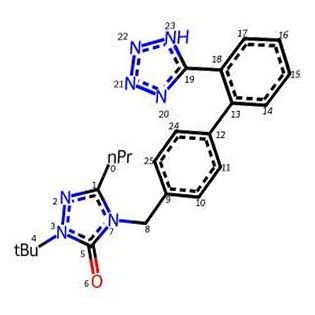 CCCc1nn(C(C)(C)C)c(=O)n1Cc1ccc(-c2ccccc2-c2nnn[nH]2)cc1